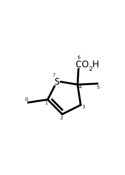 CC1=CCC(C)(C(=O)O)S1